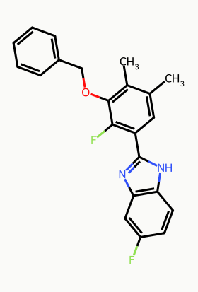 Cc1cc(-c2nc3cc(F)ccc3[nH]2)c(F)c(OCc2ccccc2)c1C